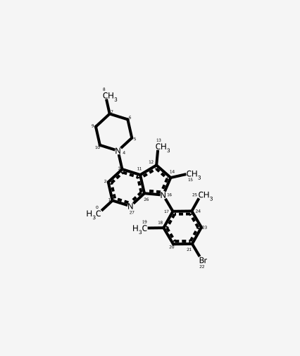 Cc1cc(N2CCC(C)CC2)c2c(C)c(C)n(-c3c(C)cc(Br)cc3C)c2n1